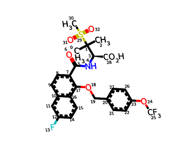 CC(C)([C@H](NC(=O)c1ccc2cc(F)ccc2c1OCc1ccc(OC(F)(F)F)cc1)C(=O)O)S(C)(=O)=O